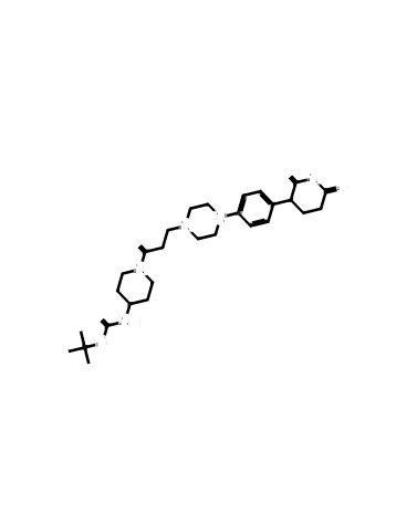 CC(C)(C)OC(=O)NC1CCN(C(=O)CCN2CCN(c3ccc(C4CCC(=O)NC4=O)cc3)CC2)CC1